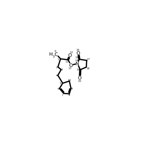 CC(CCCC1C=CC=CC1)C(=O)ON1C(=O)CCC1=O